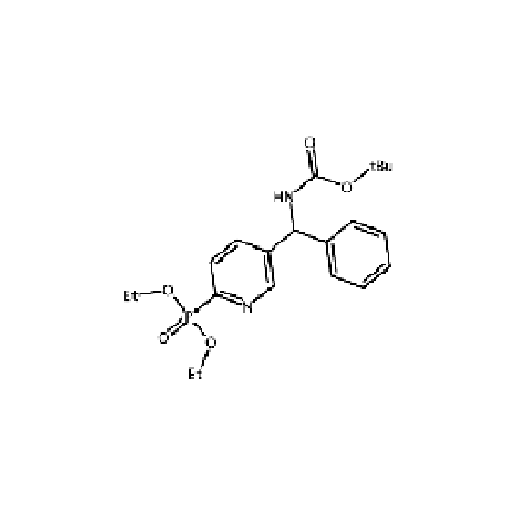 CCOP(=O)(OCC)c1ccc(C(NC(=O)OC(C)(C)C)c2ccccc2)cn1